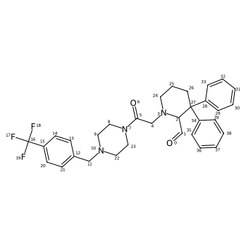 O=CC1N(CC(=O)N2CCN(Cc3ccc(C(F)(F)F)cc3)CC2)CCCC1(c1ccccc1)c1ccccc1